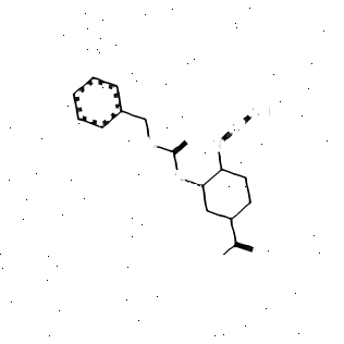 N=[N+]=NC1CCC(C(=O)[O-])CC1NC(=O)OCc1ccccc1